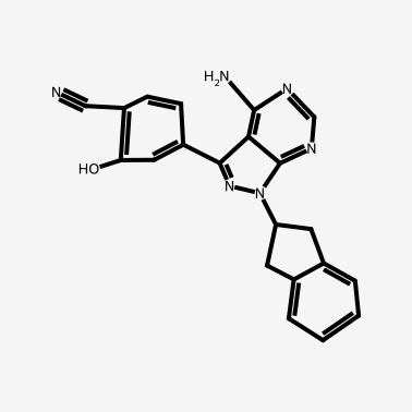 N#Cc1ccc(-c2nn(C3Cc4ccccc4C3)c3ncnc(N)c23)cc1O